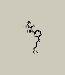 CC(C)(C)NC(=S)Nc1cccc(SCCCC#N)n1